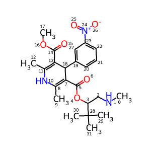 CNCC(OC(=O)C1=C(C)NC(C)=C(C(=O)OC)C1c1cccc([N+](=O)[O-])c1)C(C)(C)C